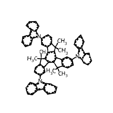 CC1(C)c2ccc(-n3c4ccccc4c4ccccc43)cc2-c2c1c1c(c3c2C(C)(C)c2ccc(-n4c5ccccc5c5ccccc54)cc2-3)C(C)(C)c2ccc(-n3c4ccccc4c4ccccc43)cc2-1